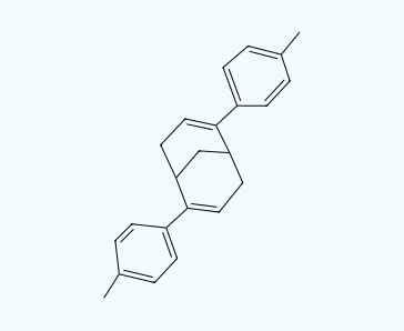 Cc1ccc(C2=CCC3CC2CC=C3c2ccc(C)cc2)cc1